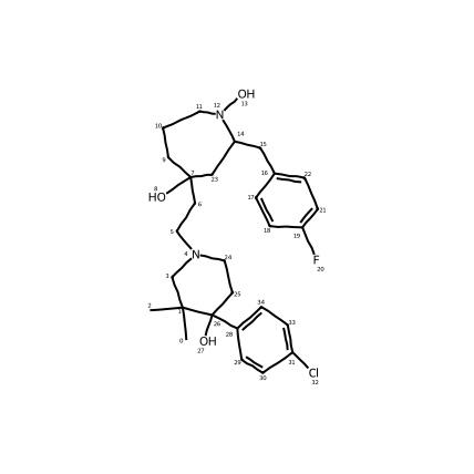 CC1(C)CN(CCC2(O)CCCN(O)C(Cc3ccc(F)cc3)C2)CCC1(O)c1ccc(Cl)cc1